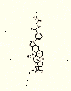 CCC(=O)O[C@]1(C(=O)O)CC[C@H]2[C@@H]3CCC4=Cc5c(cnn5-c5cccc(C(=O)NCC(N)=O)c5)C[C@]4(C)[C@H]3[C@@H](O)C[C@@]21C